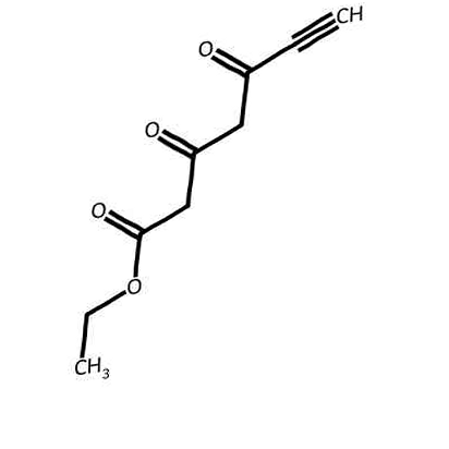 C#CC(=O)CC(=O)CC(=O)OCC